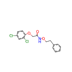 O=C(COc1ccc(Cl)cc1Cl)NOCCc1ccccc1